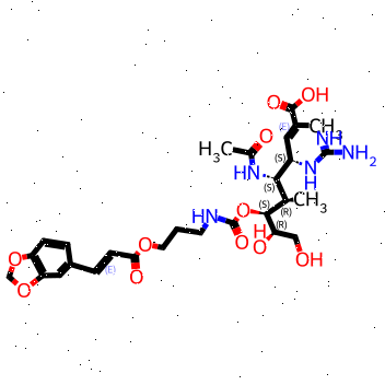 CC(=O)N[C@@H]([C@@H](C)[C@H](OC(=O)NCCCOC(=O)/C=C/c1ccc2c(c1)OCO2)[C@H](O)CO)[C@H](/C=C(\C)C(=O)O)NC(=N)N